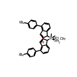 CCC(C)c1ccc(-c2cccc3c2C=C(C)[CH]3[Zr]([CH3])([CH3])(=[SiH2])[CH]2C(C(C)C)=Cc3c(-c4ccc(C(C)(C)C)cc4)cccc32)cc1.Cl.Cl